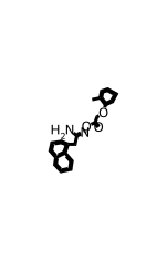 Cc1ccccc1OCC(=O)O/N=C(\N)Cc1cccc2ccccc12